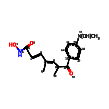 CC(/C=C/C(=O)NO)=C\C(C)C(=O)c1ccc(N(C)O)cc1